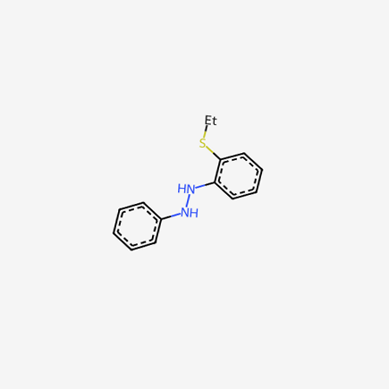 CCSc1ccccc1NNc1ccccc1